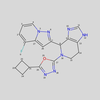 Fc1cccn2nc(C3c4nc[nH]c4CCN3c3nnc(C4CCC4)o3)cc12